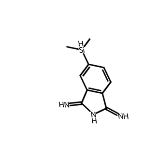 C[SiH](C)c1ccc2c(c1)C(=N)NC2=N